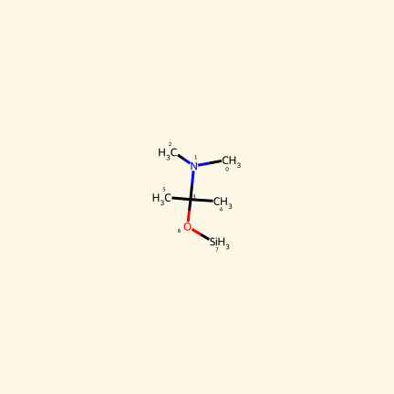 CN(C)C(C)(C)O[SiH3]